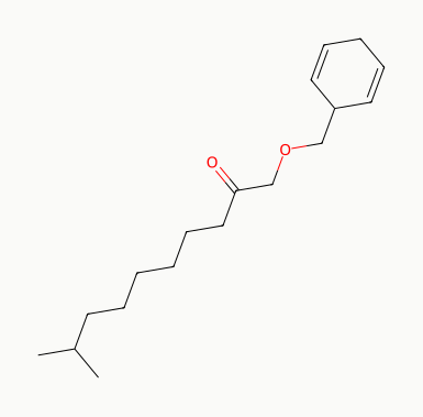 CC(C)CCCCCCC(=O)COCC1C=CCC=C1